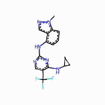 Cn1ncc2c(Nc3ncc(C(F)(F)F)c(NC4CC4)n3)cccc21